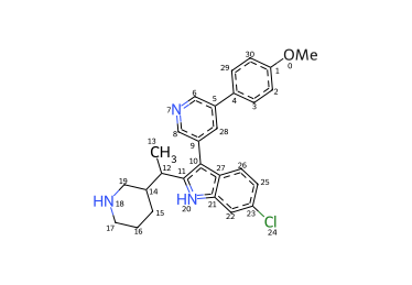 COc1ccc(-c2cncc(-c3c(C(C)C4CCCNC4)[nH]c4cc(Cl)ccc34)c2)cc1